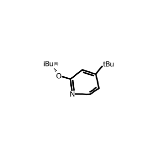 CC[C@@H](C)Oc1cc(C(C)(C)C)ccn1